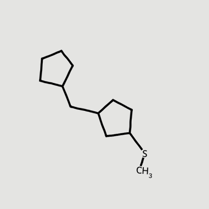 CSC1CCC(CC2CCCC2)C1